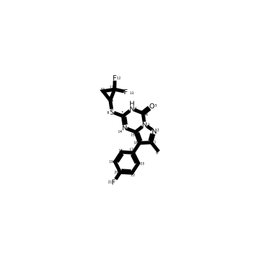 Cc1nn2c(=O)[nH]c(SC3CC3(F)F)nc2c1-c1ccc(F)cc1